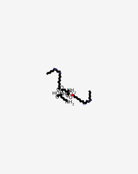 CCCCC/C=C\C/C=C\CCCCCCCC(=O)OC(=O)CCC(N)C(=O)OC(=O)CCCCCCC/C=C\C/C=C\CCCCC.NCCCCC(N)C(=O)O